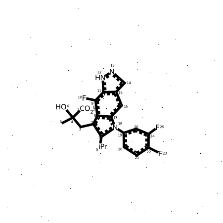 CC(C)c1c(CC(C)(O)C(=O)O)c2c(F)c3[nH]ncc3cc2n1-c1ccc(F)c(F)c1